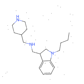 CCCCN1CC(CNCC2CCNCC2)c2ccccc21